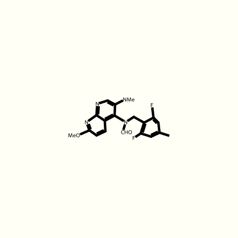 CNc1cnc2nc(OC)ccc2c1N(C=O)Cc1c(F)cc(C)cc1F